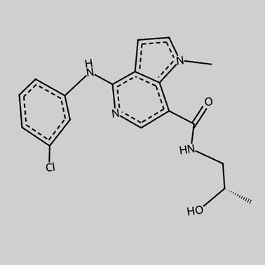 C[C@H](O)CNC(=O)c1cnc(Nc2cccc(Cl)c2)c2ccn(C)c12